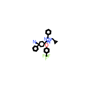 N#CC1(c2ccccc2)CCC(Oc2ccc(C(F)(F)F)cc2)(c2nc(-c3ccccc3)n(CC3CC3)n2)CC1